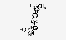 CC(C)n1cnnc1-c1cccc(N2CCN(c3ccc(N4CCC(C)(C)CC4)cc3)C2=O)n1